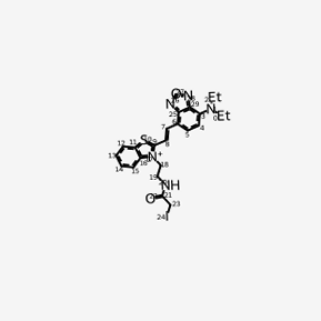 CCN(CC)c1ccc(/C=C/c2sc3ccccc3[n+]2CCNC(=O)CI)c2nonc12